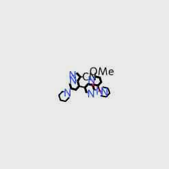 COc1ccc(CN2C3CC2CN(c2ccc(-c4cc(N5CCCCC5)cn5ncc(C#N)c45)cn2)C3)cn1